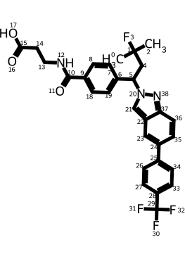 CC(C)(F)CC(c1ccc(C(=O)NCCC(=O)O)cc1)n1cc2cc(-c3ccc(C(F)(F)F)cc3)ccc2n1